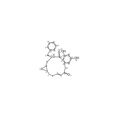 O=C1/C=C/CCC2OC2C[C@@H](Cc2ccccc2)OC(=O)c2c(O)cc(O)cc2C1